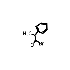 CC(C(=O)Br)c1ccccc1